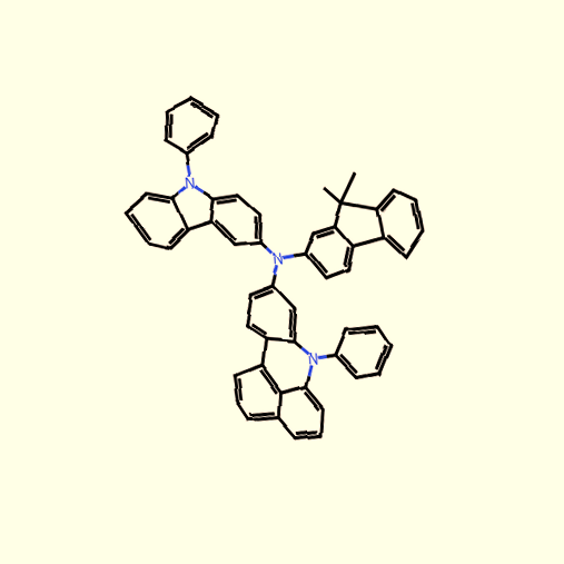 CC1(C)c2ccccc2-c2ccc(N(c3ccc4c(c3)N(c3ccccc3)c3cccc5cccc-4c35)c3ccc4c(c3)c3ccccc3n4-c3ccccc3)cc21